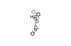 CC1C2C(COC(=O)Cc3cccc(C4CCCC4)c3O)C2CN1Cc1ccccc1